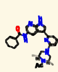 CC(=O)N1[C@H](C)CN(c2cccc(-c3c[nH]c4ncc(NC(=O)C5=CCCCC5)cc34)n2)C[C@@H]1C